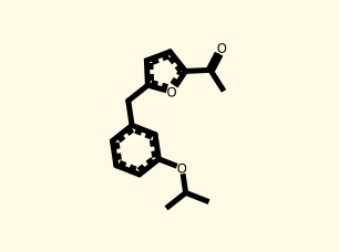 CC(=O)c1ccc(Cc2cccc(OC(C)C)c2)o1